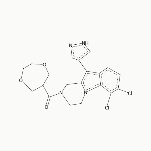 O=C(C1COCCOC1)N1CCn2c(c(-c3cn[nH]c3)c3ccc(Cl)c(Cl)c32)C1